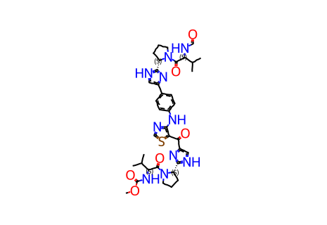 COC(=O)N[C@H](C(=O)N1CCC[C@H]1c1nc(C(=O)c2scnc2Nc2ccc(-c3c[nH]c([C@@H]4CCCN4C(=O)[C@@H](NC=O)C(C)C)n3)cc2)c[nH]1)C(C)C